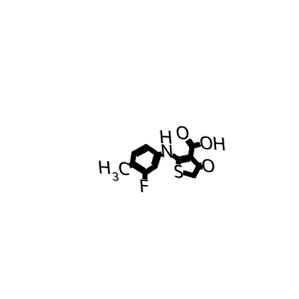 Cc1ccc(NC2=C(C(=O)O)C(=O)CS2)cc1F